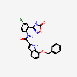 O=C(Nc1ccc(Br)cc1-c1noc(=O)[nH]1)c1cc2cccc(OCc3ccccc3)c2[nH]1